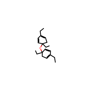 CCC1=CCC(CC)(OC2(CC)C=CC(CC)=CC2)C=C1